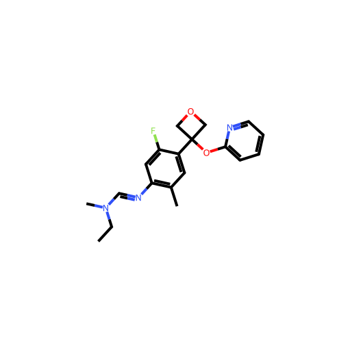 CCN(C)C=Nc1cc(F)c(C2(Oc3ccccn3)COC2)cc1C